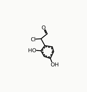 O=CC(Cl)c1ccc(O)cc1O